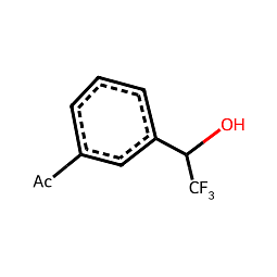 CC(=O)c1cccc(C(O)C(F)(F)F)c1